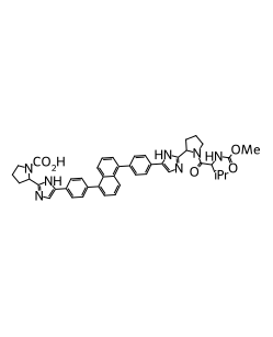 COC(=O)NC(C(=O)N1CCCC1c1ncc(-c2ccc(-c3cccc4c(-c5ccc(-c6cnc(C7CCCN7C(=O)O)[nH]6)cc5)cccc34)cc2)[nH]1)C(C)C